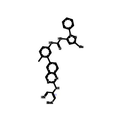 CN/C=C(\C=N)Nc1ncc2cc(-c3cc(NC(=O)Nc4cc(C(C)(C)C)nn4-c4ccccc4)ccc3C)ccc2n1